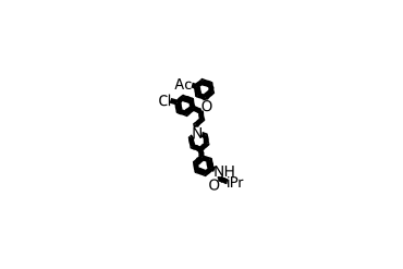 CC(=O)c1cccc(OC(CCN2CCC(c3cccc(NC(=O)C(C)C)c3)CC2)c2ccc(Cl)cc2)c1